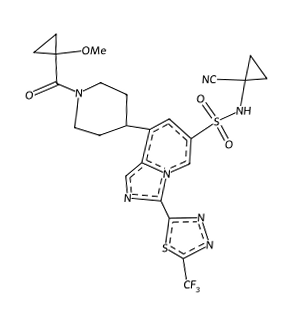 COC1(C(=O)N2CCC(c3cc(S(=O)(=O)NC4(C#N)CC4)cn4c(-c5nnc(C(F)(F)F)s5)ncc34)CC2)CC1